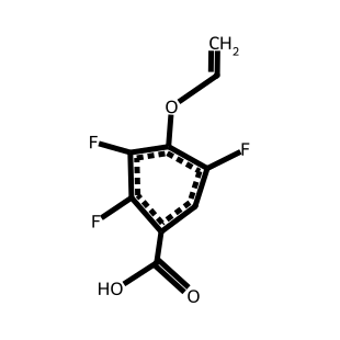 C=COc1c(F)cc(C(=O)O)c(F)c1F